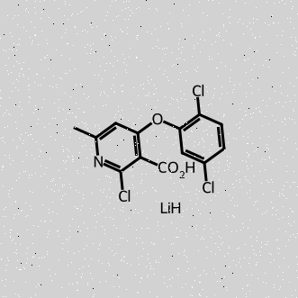 Cc1cc(Oc2cc(Cl)ccc2Cl)c(C(=O)O)c(Cl)n1.[LiH]